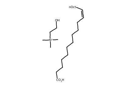 CCCCCCCC/C=C\CCCCCCCCCC(=O)O.C[N+](C)(C)CCO